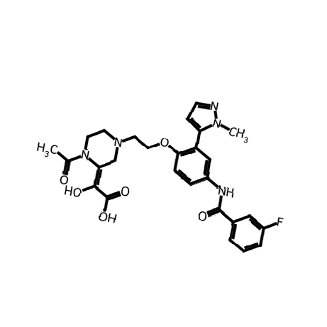 CC(=O)N1CCN(CCOc2ccc(NC(=O)c3cccc(F)c3)cc2-c2ccnn2C)C/C1=C(/O)C(=O)O